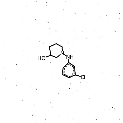 OC1CCCN(Nc2cccc(Cl)c2)C1